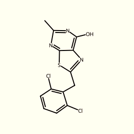 Cc1nc(O)c2nc(Cc3c(Cl)cccc3Cl)sc2n1